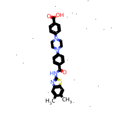 Cc1cc2nc(NC(=O)c3ccc(N4CCN(c5ccc(C(=O)O)cc5)CC4)cc3)sc2cc1C